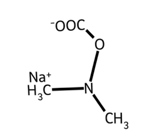 CN(C)OC(=O)[O-].[Na+]